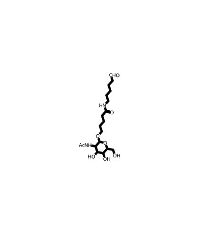 CC(=O)NC1C(OCCCCC(=O)NCCCCCC=O)OC(CO)C(O)C1O